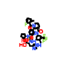 Cc1ccc(NC(=O)[C@H]2CCCN(C(=O)c3c(C)cccc3F)[C@H]2c2ccc(N(C3CCCC3)P(=O)(O)NC(Cc3c[nH]cn3)C(=O)O)cc2)cc1C(F)(F)F